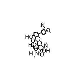 COc1ccc(-c2ccc(O)c3c2CC2CC4C(N(C)C)C(O)=C(C(N)=O)C(=O)C4(O)C(O)=C2C3=O)cc1CN(C)C